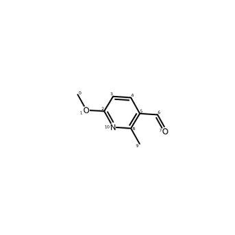 COc1ccc(C=O)c(C)n1